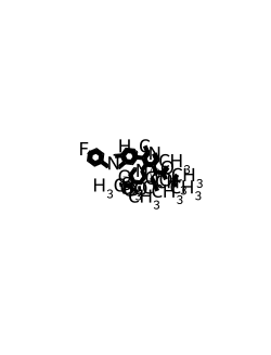 Cc1nc(C)c([C@H](OC(C)(C)C)C(=O)OC(C)C)c(N2CCC(S(C)(=O)=O)(S(C)(=O)=O)CC2)c1-c1ccc2c(c1)CN(Cc1ccc(F)cc1)C2